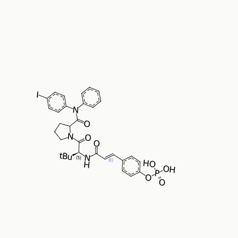 CC(C)(C)[C@H](NC(=O)/C=C/c1ccc(OP(=O)(O)O)cc1)C(=O)N1CCCC1C(=O)N(c1ccccc1)c1ccc(I)cc1